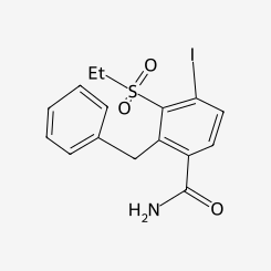 CCS(=O)(=O)c1c(I)ccc(C(N)=O)c1Cc1ccccc1